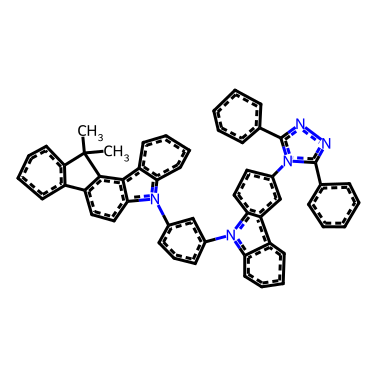 CC1(C)c2ccccc2-c2ccc3c(c21)c1ccccc1n3-c1cccc(-n2c3ccccc3c3cc(-n4c(-c5ccccc5)nnc4-c4ccccc4)ccc32)c1